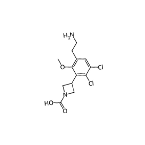 COc1c(CCN)cc(Cl)c(Cl)c1C1CN(C(=O)O)C1